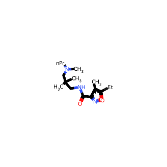 CCCN(C)CC(C)(C)CNC(=O)c1noc(CC)c1C